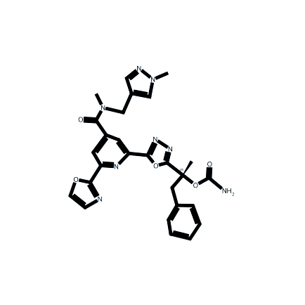 CN(Cc1cnn(C)c1)C(=O)c1cc(-c2ncco2)nc(-c2nnc([C@@](C)(Cc3ccccc3)OC(N)=O)o2)c1